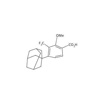 COc1c(C(=O)O)ccc(C23CC4CC(CC(C4)C2)C3)c1C(F)(F)F